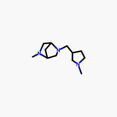 CN1CCC(CN2CC3CC2CN3C)C1